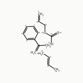 C=C(C)c1ccccc1.C=CCOC(=O)CC.CC=CC